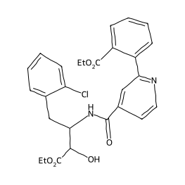 CCOC(=O)c1ccccc1-c1cc(C(=O)NC(Cc2ccccc2Cl)C(O)C(=O)OCC)ccn1